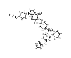 COc1ccc(-n2ccc3c(=O)n(CC4(O)CCN(C(=O)[C@@H]5CCN(Cc6ccon6)C[C@H]5c5ccccc5)CC4)cnc32)cc1